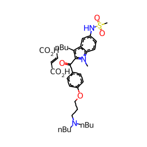 CCCCc1c(C(=O)c2ccc(OCCCN(CCCC)CCCC)cc2)n(C)c2ccc(NS(C)(=O)=O)cc12.O=C(O)C=CC(=O)O